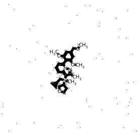 COCc1cc(OC)c(-c2cccc3c([N+](C)(CC4CC4)C4CCOC4)c(C)nn23)c(OC)c1